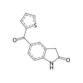 O=C1Cc2cc(C(=O)c3cccs3)ccc2N1